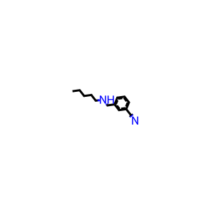 CCCCCNCc1cccc(C#N)c1